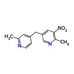 Cc1cc(Cc2cnc(C)c([N+](=O)[O-])c2)ccn1